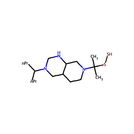 CCCC(CCC)N1CNC2CN(C(C)(C)SS)CCC2C1